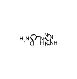 Nc1ccc(CNc2ncnc3[nH]cnc23)cc1Cl